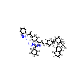 C/C(=C\c1ccccc1N)c1ccc(C(/C=C/c2ccc(-c3cccc4c3-c3cc5ccccc5cc3C4(C)C)cc2)NC(N)c2ccccc2)cc1